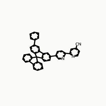 N#Cc1ccnc(-c2ccc(-c3ccc4c(c3)-c3cc(-c5ccccc5)ccc3C43c4ccccc4-c4ccccc43)cn2)c1